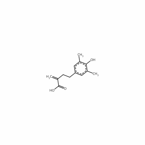 C=C(CCc1cc(C)c(O)c(C)c1)C(=O)O